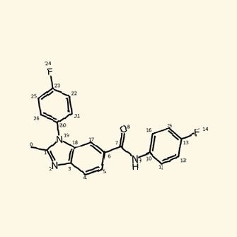 Cc1nc2ccc(C(=O)Nc3ccc(F)cc3)cc2n1-c1ccc(F)cc1